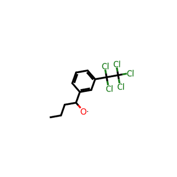 CCCC([O])c1cccc(C(Cl)(Cl)C(Cl)(Cl)Cl)c1